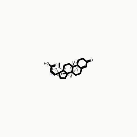 CC[C@]12CC[C@H]3[C@@H](CCC4=CC(=O)CC[C@@H]43)[C@@H]1CC[C@@]2(O)/C=C\C(=O)O